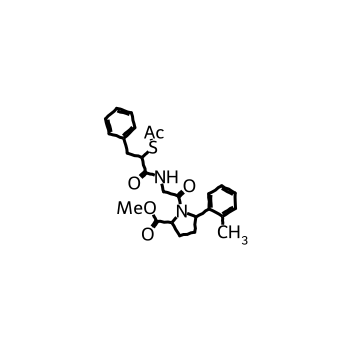 COC(=O)C1CCC(c2ccccc2C)N1C(=O)CNC(=O)C(Cc1ccccc1)SC(C)=O